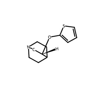 c1csc(O[C@H]2CN3CCC2CC3)c1